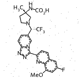 COc1cc(F)cc2ccc(-c3nnc4ccc([C@H](N5CC[C@](C)(NC(=O)O)C5)C(F)(F)F)cn34)nc12